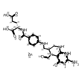 Nc1nc(=O)c2c([nH]1)NCC(CNc1ccc(C(=O)N[C@@H](CCC(=O)O)C(=O)O)cc1)N2C=O.[Zn]